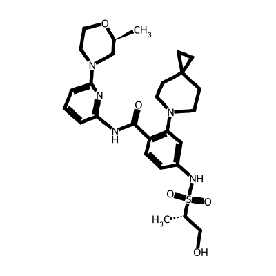 C[C@H]1CN(c2cccc(NC(=O)c3ccc(NS(=O)(=O)[C@@H](C)CO)cc3N3CCC4(CC3)CC4)n2)CCO1